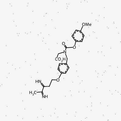 COc1ccc(OC(=O)N(CC(=O)O)Cc2ccc(OCCC(=N)C(C)=N)cc2)cc1